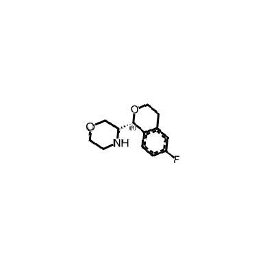 Fc1ccc2c(c1)CCO[C@H]2C1COCCN1